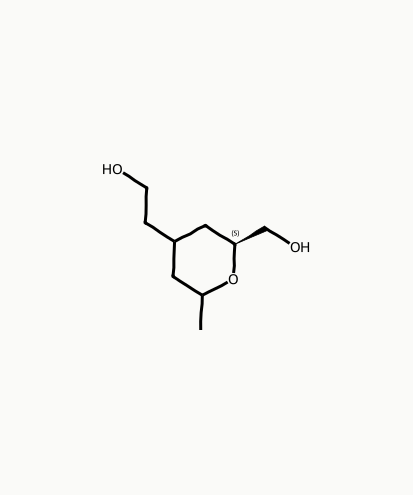 CC1CC(CCO)C[C@@H](CO)O1